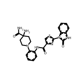 NC(=O)C1(N)CCN(c2ccccc2NC(=O)c2csc(-n3c(=O)[nH]c4ccccc43)n2)CC1